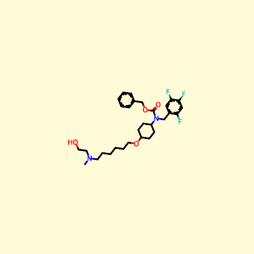 CN(CCO)CCCCCCOC1CCC(N(Cc2cc(F)c(F)cc2F)C(=O)OCc2ccccc2)CC1